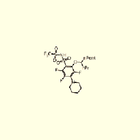 CCCCCC(CCC)Oc1c(F)c(N2CCCCC2)c(F)c(F)c1S(=O)(=O)NS(=O)(=O)C(F)(F)F